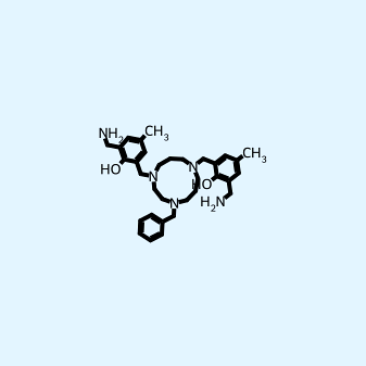 Cc1cc(CN)c(O)c(CN2CCCN(Cc3ccccc3)CCN(Cc3cc(C)cc(CN)c3O)CCC2)c1